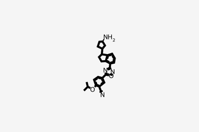 CC(C)Oc1ccc(-c2nc(-c3cccc4c3CCC4C3CC[C@@H](N)C3)no2)cc1C#N